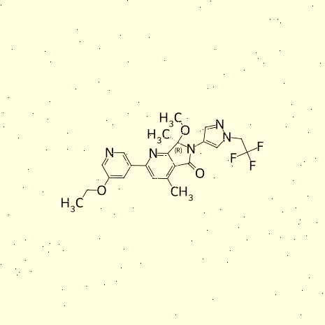 CCOc1cncc(-c2cc(C)c3c(n2)[C@@](C)(OC)N(c2cnn(CC(F)(F)F)c2)C3=O)c1